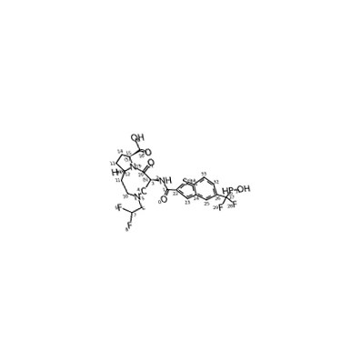 O=C(N[C@H]1CN(CC(F)F)CC[C@H]2CC[C@@H](C(=O)O)N2C1=O)c1cc2cc(C(F)(F)PO)ccc2s1